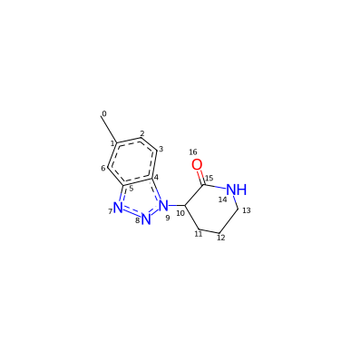 Cc1ccc2c(c1)nnn2C1CCCNC1=O